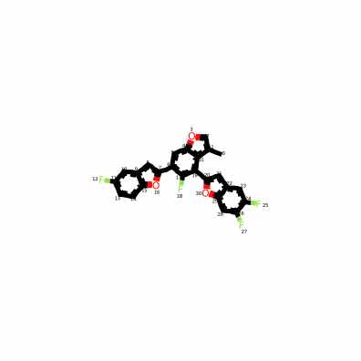 Cc1[c]oc2cc(-c3cc4cc(F)ccc4o3)c(F)c(-c3cc4cc(F)c(F)cc4o3)c12